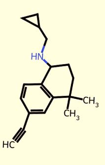 C#Cc1ccc2c(c1)C(C)(C)CCC2NCC1CC1